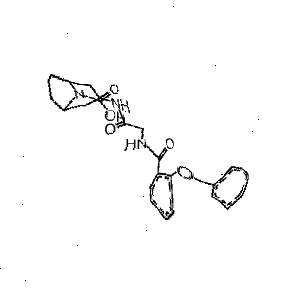 O=C(CNC(=O)c1ccccc1Oc1ccccc1)NC1CC2CCC(C1)N2C(=O)O